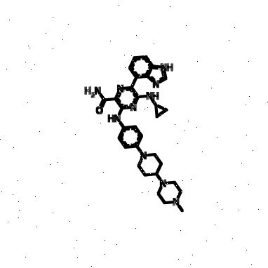 CN1CCN(C2CCN(c3ccc(Nc4nc(NC5CC5)c(-c5cccc6[nH]cnc56)nc4C(N)=O)cc3)CC2)CC1